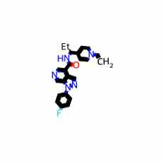 C=CN1C=CC([C@H](CC)NC(=O)c2cncc3c2cnn3-c2ccc(F)cc2)=CC1